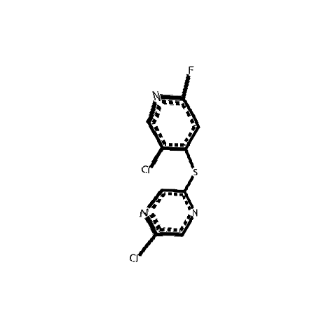 Fc1cc(Sc2cnc(Cl)cn2)c(Cl)cn1